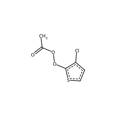 CC(=O)OOc1sccc1Cl